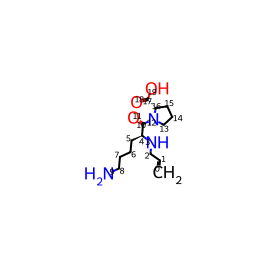 C=CCN[C@@H](CCCCN)C(=O)N1CCC[C@H]1C(=O)O